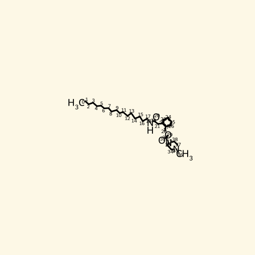 CCCCCCCCCCCCCCCCCCNC(=O)Cc1ccccc1COC(=O)N1CCN(C)CC1